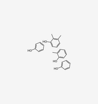 Cc1cccc(O)c1C.Cc1ccccc1O.Oc1ccccc1.Oc1ccccc1